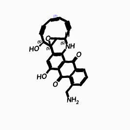 NCc1cccc2c1C(=O)c1c(O)cc3c(c1C2=O)N[C@H]1C#C/C=C\C#C[C@H](O)[C@@]32OC12